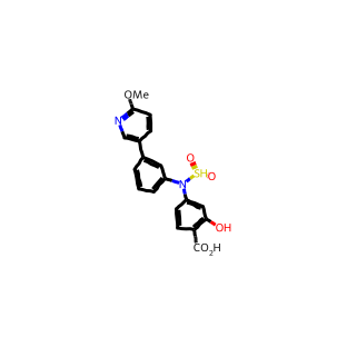 COc1ccc(-c2cccc(N(c3ccc(C(=O)O)c(O)c3)[SH](=O)=O)c2)cn1